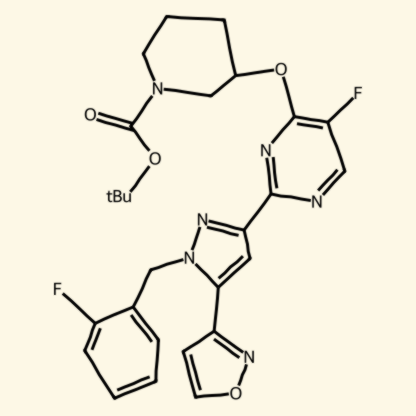 CC(C)(C)OC(=O)N1CCCC(Oc2nc(-c3cc(-c4ccon4)n(Cc4ccccc4F)n3)ncc2F)C1